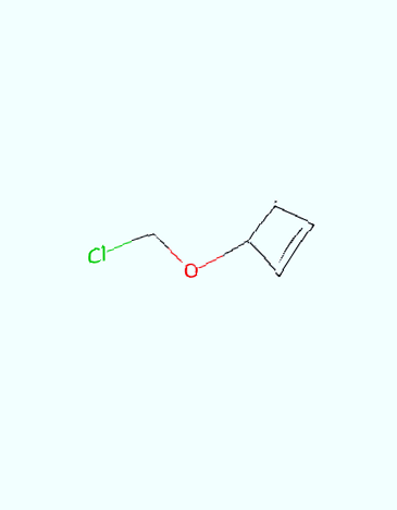 ClCOC1[CH]C=C1